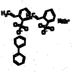 C=Cc1ccccc1S(=O)(=O)[O-].C=Cc1ccccc1S(=O)(=O)[O-].[Na+].[Na+].c1ccc(-c2ccccc2)cc1